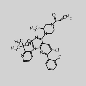 C=CC(=O)N1CCN(c2nc(=O)n(-c3cccnc3C(C)(C)C)c3nc(-c4ccccc4F)c(Cl)cc23)C(C)C1